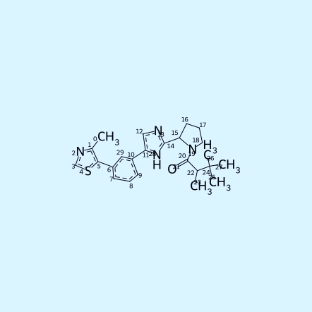 Cc1ncsc1-c1cccc(-c2cnc(C3CCCN3C(=O)C(C)C(C)(C)C)[nH]2)c1